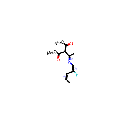 C\C=C/C(F)=C\N=C(/C)C(C(=O)OC)C(=O)OC